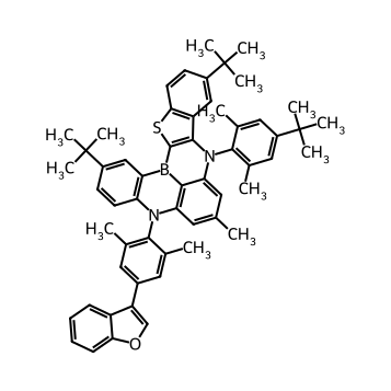 Cc1cc2c3c(c1)N(c1c(C)cc(C(C)(C)C)cc1C)c1c(sc4ccc(C(C)(C)C)cc14)B3c1cc(C(C)(C)C)ccc1N2c1c(C)cc(-c2coc3ccccc23)cc1C